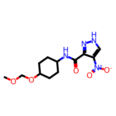 COCOC1CCC(NC(=O)c2n[nH]cc2[N+](=O)[O-])CC1